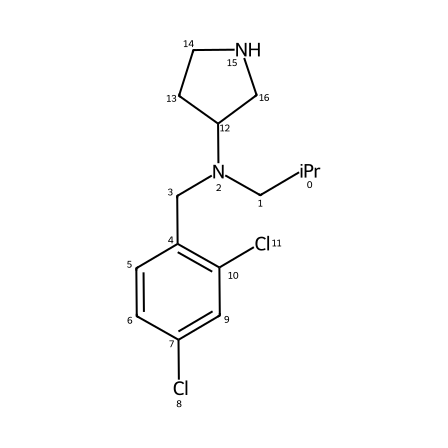 CC(C)CN(Cc1ccc(Cl)cc1Cl)C1CCNC1